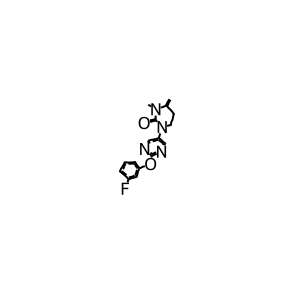 C=C1CCN(c2cnc(Oc3cccc(F)c3)nc2)C(=O)N1C